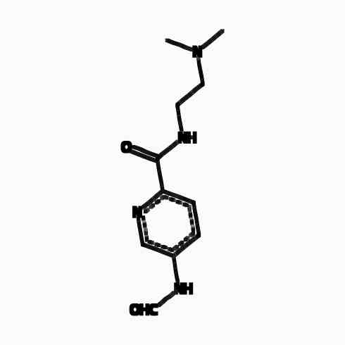 CN(C)CCNC(=O)c1ccc(NC=O)cn1